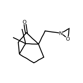 CC1(C)C2CCC1(CN1CO1)C(=O)C2